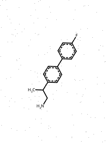 CC(CN)c1ccc(-c2ccc(F)cc2)cc1